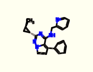 C[C@@H]1C[C@H]1c1nc(NCc2ccccn2)c2c(-c3ccccc3)ccn2n1